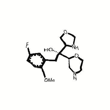 COc1ccc(F)cc1C[C@@](O)(C1COCN1)[C@@H]1CNCCO1